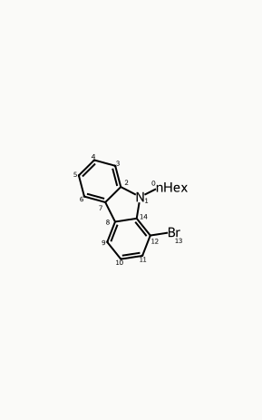 CCCCCCn1c2ccccc2c2cccc(Br)c21